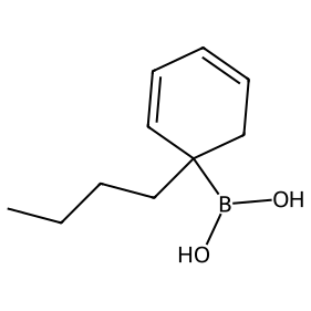 CCCCC1(B(O)O)C=CC=CC1